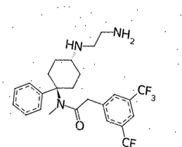 CN(C(=O)Cc1cc(C(F)(F)F)cc(C(F)(F)F)c1)[C@]1(c2ccccc2)CC[C@@H](NCCN)CC1